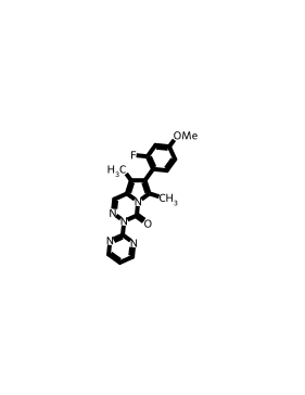 COc1ccc(-c2c(C)c3cnn(-c4ncccn4)c(=O)n3c2C)c(F)c1